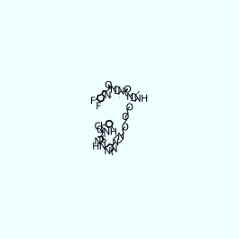 Cc1nc(Nc2ncc(C(=O)Nc3c(C)cccc3Cl)s2)cc(N2CCN(CCOCCOCCOC[C@H]3CN[C@H](C)CN3CC(=O)N3CCN(C(=O)c4cc5cc(F)c(F)cc5n4C)C[C@H]3C)CC2)n1